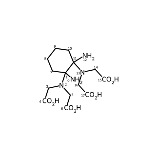 NC1(N(CC(=O)O)CC(=O)O)CCCCC1(N)N(CC(=O)O)CC(=O)O